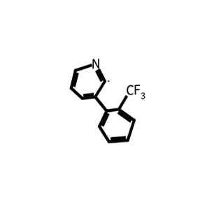 FC(F)(F)c1ccccc1-c1[c]nccc1